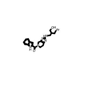 CC(C)CC(CO)CNc1nc2c(s1)CN(C(=O)c1cc3ccccc3[nH]1)CC2